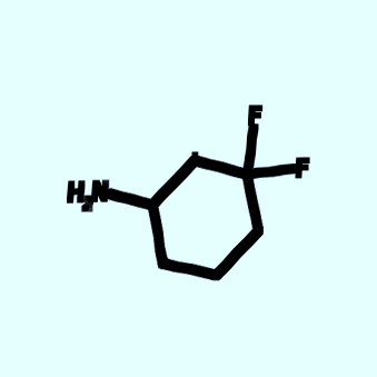 NC1[CH]C(F)(F)CCC1